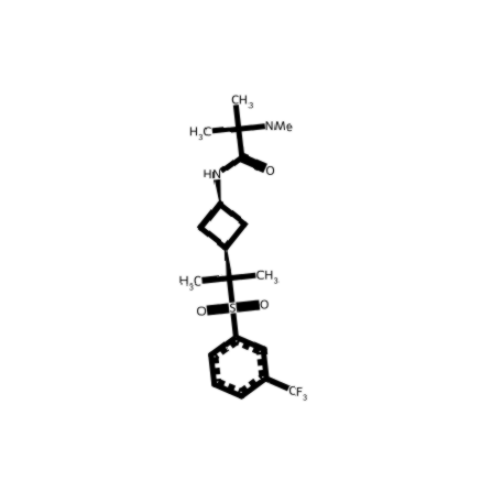 CNC(C)(C)C(=O)N[C@H]1C[C@@H](C(C)(C)S(=O)(=O)c2cccc(C(F)(F)F)c2)C1